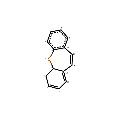 C1=CCC2Sc3ccccc3C=CC2=C1